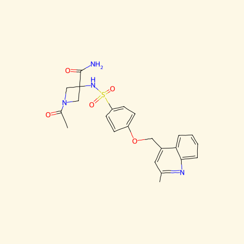 CC(=O)N1CC(NS(=O)(=O)c2ccc(OCc3cc(C)nc4ccccc34)cc2)(C(N)=O)C1